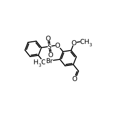 COc1cc(C=O)cc(Br)c1OS(=O)(=O)c1ccccc1C